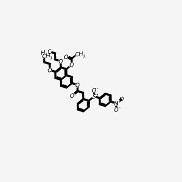 CCCOc1cc2ccc(OC(=O)Cc3ccccc3[S+]([O-])c3ccc([N+](=O)[O-])cc3)cc2c(OC(C)=O)c1OCCC